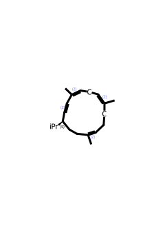 CC1=C/C/C=C(/C)CC/C=C(/C)CC[C@@H](C(C)C)/C=C\1